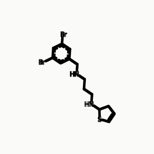 Brc1cc(Br)cc(CNCCCNC2CC=CS2)c1